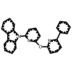 c1ccc(-c2cccc(Oc3cccc(-n4c5ccccc5c5ccccc54)n3)n2)cc1